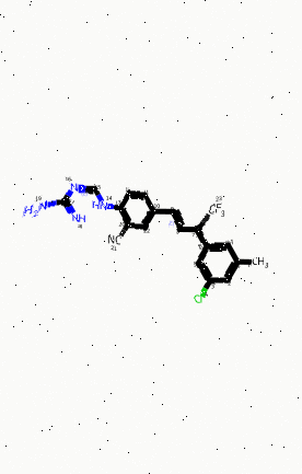 Cc1cc(Cl)cc(C(/C=C/c2ccc(N/C=N\C(=N)N)c(C#N)c2)C(F)(F)F)c1